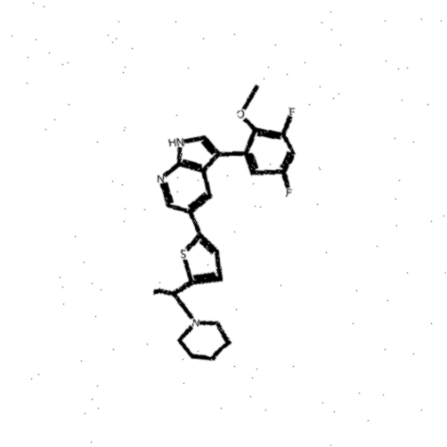 COc1c(F)cc(F)cc1-c1c[nH]c2ncc(-c3ccc(C(C)N4CCCCC4)s3)cc12